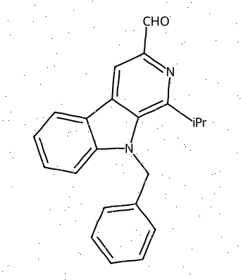 CC(C)c1nc(C=O)cc2c3ccccc3n(Cc3ccccc3)c12